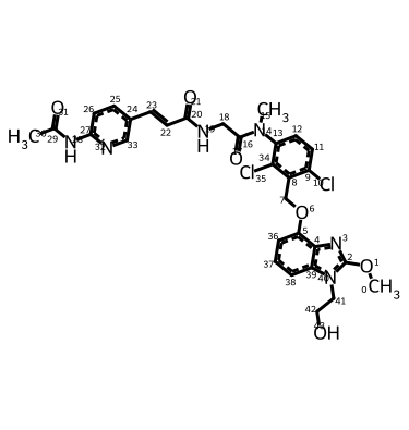 COc1nc2c(OCc3c(Cl)ccc(N(C)C(=O)CNC(=O)/C=C/c4ccc(NC(C)=O)nc4)c3Cl)cccc2n1CCO